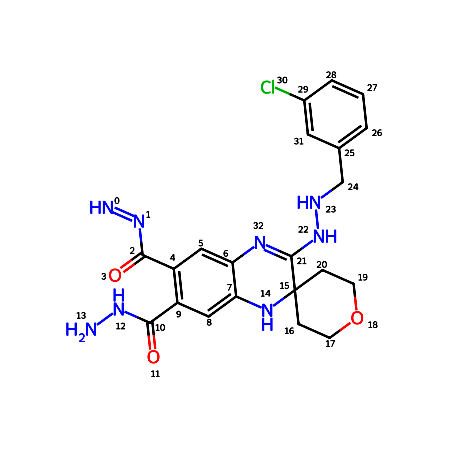 N=NC(=O)c1cc2c(cc1C(=O)NN)NC1(CCOCC1)C(NNCc1cccc(Cl)c1)=N2